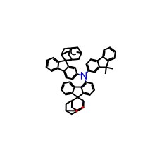 CC1(C)c2ccccc2-c2ccc(N(c3ccc4c(c3)C3(c5ccccc5-4)C4CCC5CC(C4)CC3C5)c3cccc4c3-c3ccccc3C43C4CCC5CC(C4)CC3C5)cc21